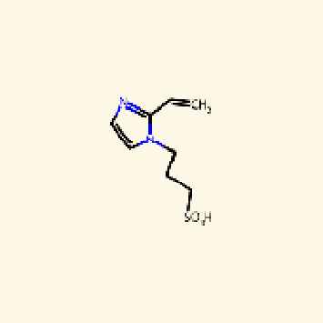 C=Cc1nccn1CCCS(=O)(=O)O